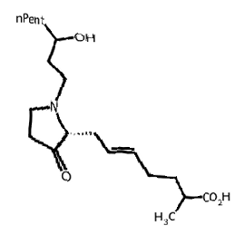 CCCCCC(O)CCN1CCC(=O)[C@H]1C/C=C/CCC(C)C(=O)O